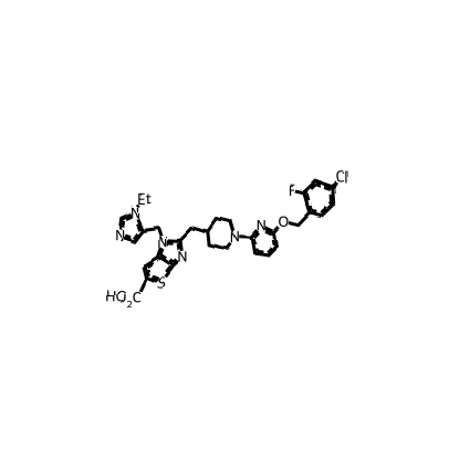 CCn1cncc1Cn1c(CC2CCN(c3cccc(OCc4ccc(Cl)cc4F)n3)CC2)nc2sc(C(=O)O)cc21